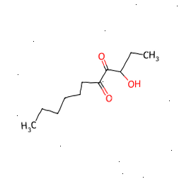 CCCCCCC(=O)C(=O)C(O)CC